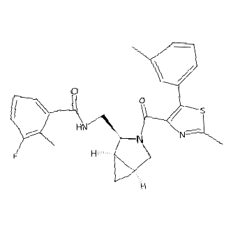 Cc1cccc(-c2sc(C)nc2C(=O)N2C[C@H]3C[C@H]3[C@H]2CNC(=O)c2cccc(F)c2C)c1